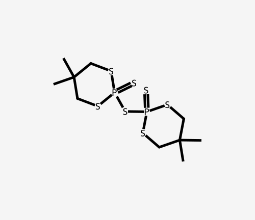 CC1(C)CSP(=S)(SP2(=S)SCC(C)(C)CS2)SC1